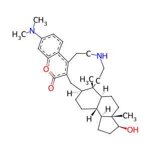 CN(C)c1ccc2c3c(c(=O)oc2c1)C[C@@H]1CC[C@@H]2[C@H](CC[C@]4(C)[C@@H](O)CC[C@@H]24)[C@@]1(C)CCNCC3